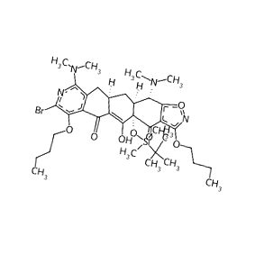 CCCCOc1noc2c1C(=O)[C@@]1(O[Si](C)(C)C(C)(C)C)C(O)=C3C(=O)c4c(c(N(C)C)nc(Br)c4OCCCC)C[C@H]3C[C@H]1[C@@H]2N(C)C